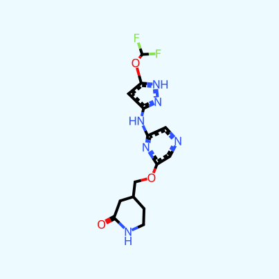 O=C1CC(COc2cncc(Nc3cc(OC(F)F)[nH]n3)n2)CCN1